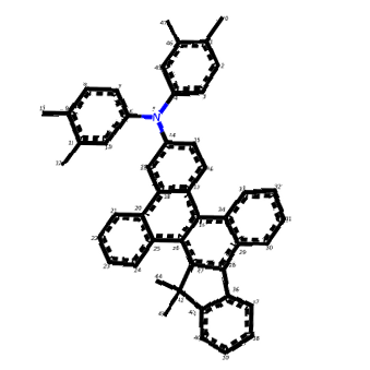 Cc1ccc(N(c2ccc(C)c(C)c2)c2ccc3c(c2)c2ccccc2c2c4c(c5ccccc5c32)-c2ccccc2C4(C)C)cc1C